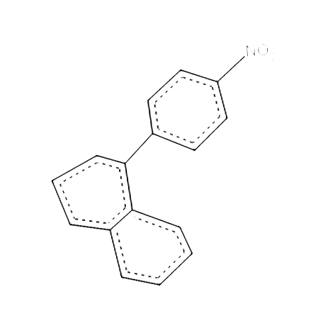 O=[N+]([O-])c1ccc(-c2cccc3ccccc23)cc1